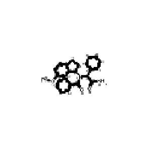 CC(C)Oc1ccc2c(c1)[C@H](N(C(=O)c1ccccc1)C(C(N)=O)c1ccccc1)CC2